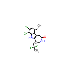 CC(F)(F)C[C@@H]1CNC(=O)Cc2c1[nH]c1c(Cl)c(Cl)cc(CC#N)c21